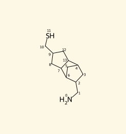 NCC1CC2CC1C1CC(CS)CC21